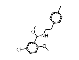 COc1ccc(Cl)cc1C(NCCc1ccc(C)cc1)OC